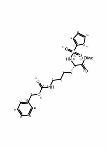 COC(=O)[C@H](CCCCNC(=O)OCc1ccccc1)NS(=O)(=O)c1cccs1